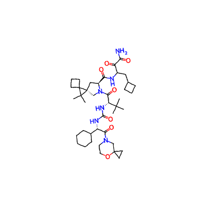 CC(C)(C)[C@H](NC(=O)N[C@H](C(=O)N1CCOC2(CC2)C1)C1CCCCC1)C(=O)N1C[C@]2(C[C@H]1C(=O)NC(CC1CCC1)C(=O)C(N)=O)C(C)(C)C21CCC1